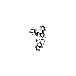 CN(Cc1cc(C(=O)Nc2ccc3scnc3c2)ccc1-c1ccccc1)c1ccccc1